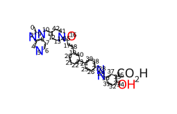 Cc1nc2cnccc2n1CC1CCN(C(=O)/C=C/c2cccc(-c3ccc(N=Nc4ccc(O)c(C(=O)O)c4)cc3)c2)CC1